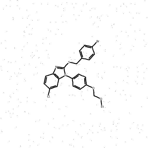 CCOCOc1ccc(-n2c(SCc3ccc(Br)cc3)nc3ccc(Cl)cc32)cc1